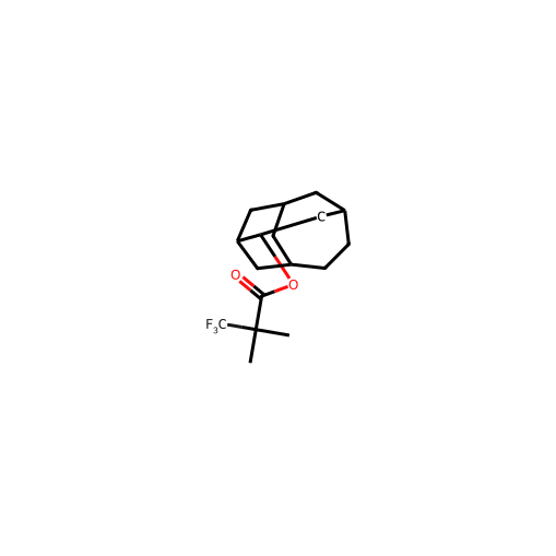 CC(C)(C(=O)OC1CC2CCC3CC(C2)CC1C3)C(F)(F)F